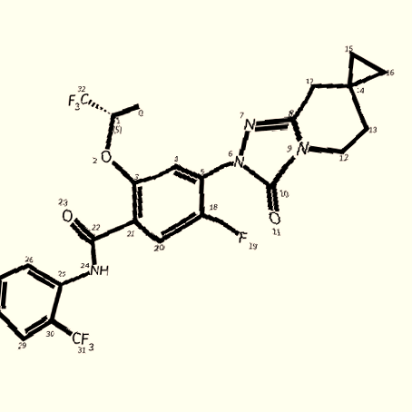 C[C@H](Oc1cc(-n2nc3n(c2=O)CCC2(CC2)C3)c(F)cc1C(=O)Nc1ccccc1C(F)(F)F)C(F)(F)F